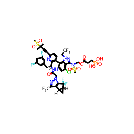 CC(C)(C#Cc1ccc(-c2ccc(Cl)c3c(N(COC(=O)CCP(=O)(O)O)S(C)(=O)=O)nn(CC(F)(F)F)c23)c([C@H](Cc2cc(F)cc(F)c2)NC(=O)Cn2nc(C(F)(F)F)c3c2C(F)(F)[C@@H]2C[C@H]32)n1)S(C)(=O)=O